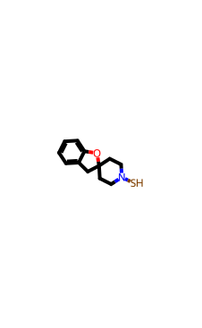 SN1CCC2(CC1)Cc1ccccc1O2